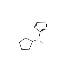 O=CN([C]1CCCC1)c1ccon1